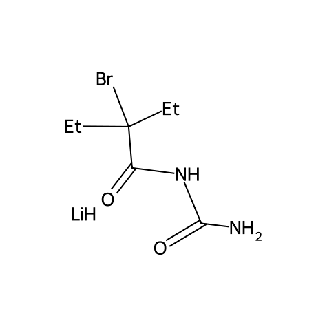 CCC(Br)(CC)C(=O)NC(N)=O.[LiH]